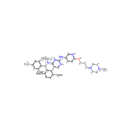 COc1ccc(OC)c(C(c2c(C)cc(C)cc2C)N(C(=O)O)c2ccnc(Nc3ccc(OCCCN4CCN(C)CC4)nc3)n2)c1